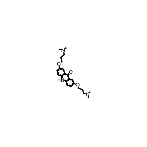 CN(C)CCCOc1ccc2[nH]c3ccc(OCCCN(C)C)cc3c(=O)c2c1